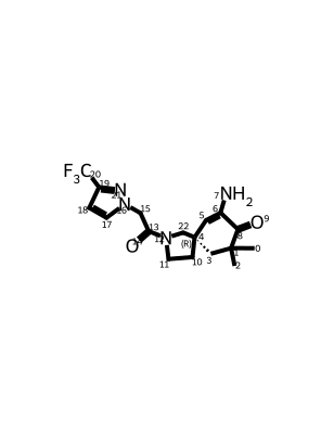 CC1(C)C[C@]2(C=C(N)C1=O)CCN(C(=O)Cn1ccc(C(F)(F)F)n1)C2